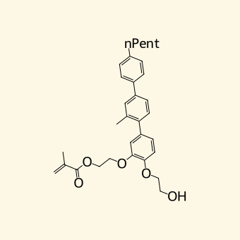 C=C(C)C(=O)OCCOc1cc(-c2ccc(-c3ccc(CCCCC)cc3)cc2C)ccc1OCCO